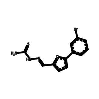 NC(=S)NN=Cc1ccc(-c2cccc(Br)c2)o1